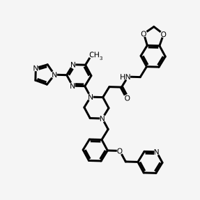 Cc1cc(N2CCN(Cc3ccccc3OCc3cccnc3)CC2CC(=O)NCc2ccc3c(c2)OCO3)nc(-n2ccnc2)n1